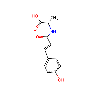 C[C@H](NC(=O)C=Cc1ccc(O)cc1)C(=O)O